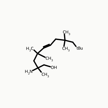 CC(C)(C)CC(C)(C)C/C=C/C(C)(C)CC(C)(N)CO